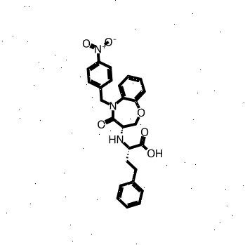 O=C(O)[C@H](CCc1ccccc1)N[C@H]1COc2ccccc2N(Cc2ccc([N+](=O)[O-])cc2)C1=O